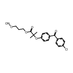 CC(C)(Oc1ccc(C(=O)c2ccc(Cl)cc2)cc1)C(=O)OCCCON=O